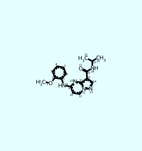 COc1ccccc1Nc1ccn2ncc(C(=O)NC(C)C)c2n1